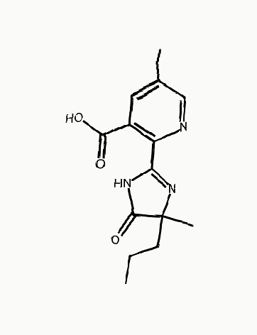 CCCC1(C)N=C(c2ncc(C)cc2C(=O)O)NC1=O